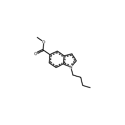 CCCCn1ccc2cc(C(=O)OC)ccc21